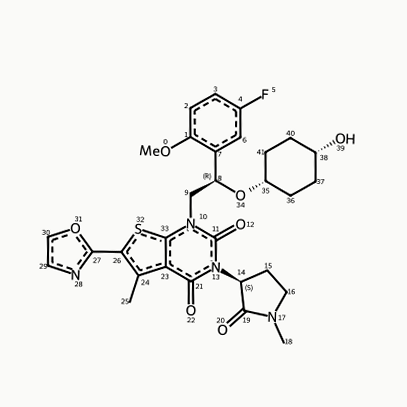 COc1ccc(F)cc1[C@H](Cn1c(=O)n([C@H]2CCN(C)C2=O)c(=O)c2c(C)c(-c3ncco3)sc21)O[C@H]1CC[C@@H](O)CC1